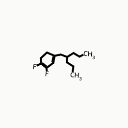 CCCC(CCC)CC1=CC(F)=C(F)CC1